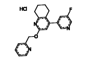 Cl.Fc1cncc(-c2cc(OCc3ccccn3)nc3c2CCCC3)c1